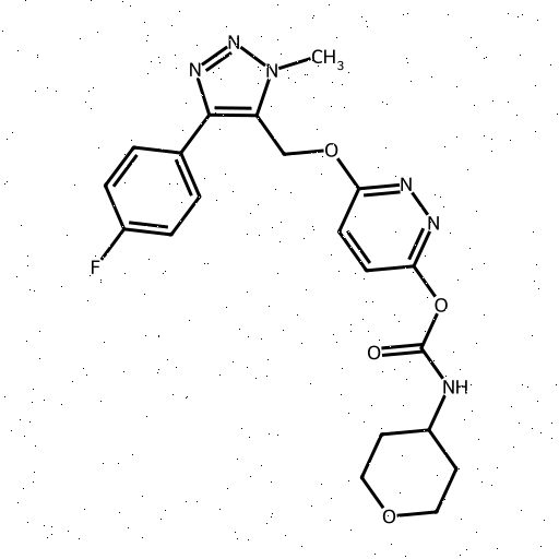 Cn1nnc(-c2ccc(F)cc2)c1COc1ccc(OC(=O)NC2CCOCC2)nn1